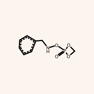 O=P1(ONCc2ccccc2)OCO1